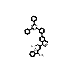 C=N/C(=C\c1oc2ccccc2c1C)c1nncc2cc(-c3cccc(-c4nc(-c5ccccc5)nc(-c5ccccc5)n4)c3)ccc12